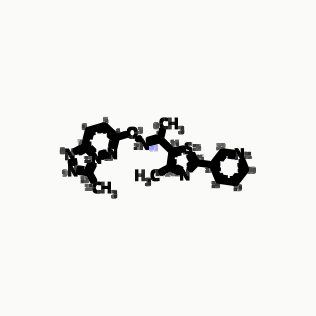 C/C(=N\Oc1ccc2nnc(C)n2n1)c1sc(-c2cccnc2)nc1C